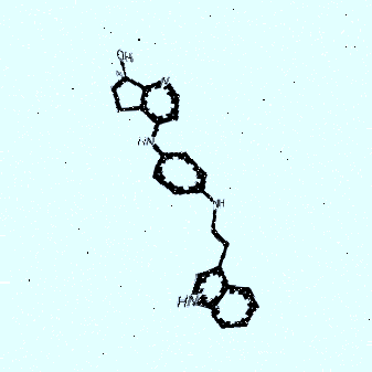 O[C@@H]1CCc2c(Nc3ccc(NCCc4c[nH]c5ccccc45)cc3)ccnc21